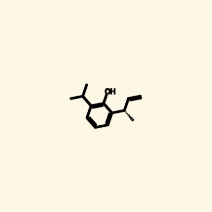 C=C[C@H](C)c1cccc(C(C)C)c1O